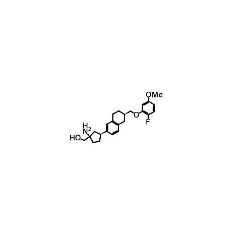 COc1ccc(F)c(OC[C@@H]2CCc3cc([C@H]4CC[C@](N)(CO)C4)ccc3C2)c1